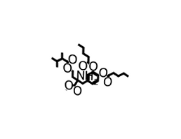 CCCCC(=O)Oc1ccc(C[C@](N)(CCOC(=O)C(C)C(C)C)C(=O)OC)cc1OC(=O)CCCC